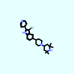 CCc1c(-c2ccncc2)[nH]c2ccc(C3CCN(C4CC(C)(C)NC(C)(C)C4)CC3)cc12